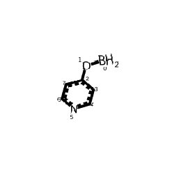 BOc1ccncc1